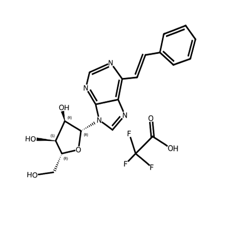 O=C(O)C(F)(F)F.OC[C@H]1O[C@@H](n2cnc3c(C=Cc4ccccc4)ncnc32)[C@H](O)[C@@H]1O